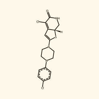 O=C1NC[C@@H]2SC(N3CCN(c4ccc(Cl)cc4)CC3)=CC2=C1Cl